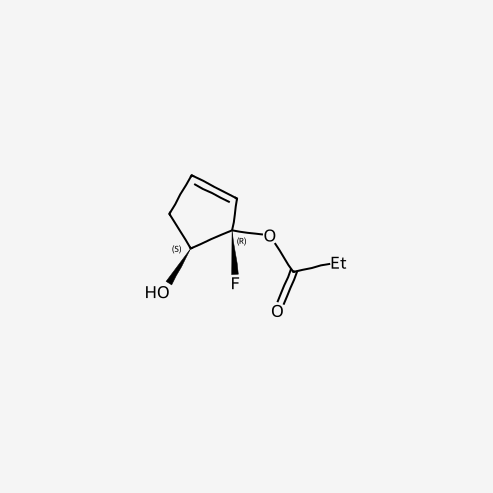 CCC(=O)O[C@@]1(F)C=CC[C@@H]1O